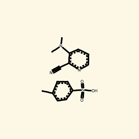 CN(C)c1cccnc1C#N.Cc1ccc(S(=O)(=O)O)cc1